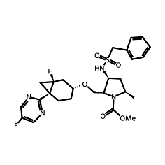 COC(=O)N1[C@H](C)C[C@H](NS(=O)(=O)Cc2ccccc2)[C@@H]1CO[C@@H]1CC[C@]2(c3ncc(F)cn3)C[C@@H]2C1